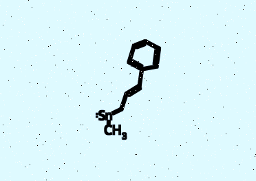 [CH3][Sn][CH2]C=Cc1ccccc1